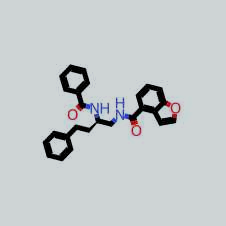 O=C(N[C@H](CCc1ccccc1)CNC(=O)c1cccc2occc12)c1ccccc1